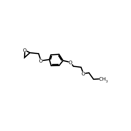 CCCOCCOc1ccc(OCC2CO2)cc1